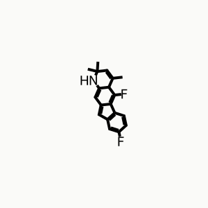 CC1=CC(C)(C)NC2=CC3=Cc4cc(F)ccc4C3=C(F)C12